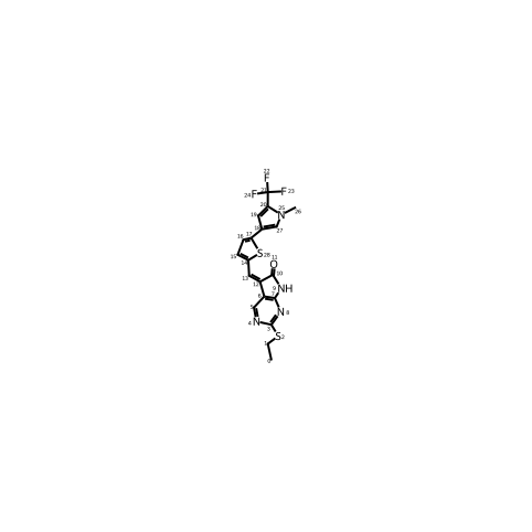 CCSc1ncc2c(n1)NC(=O)C2=Cc1ccc(-c2cc(C(F)(F)F)n(C)c2)s1